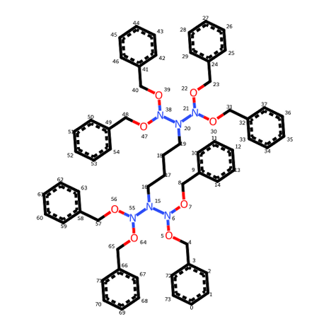 c1ccc(CON(OCc2ccccc2)N(CCCCN(N(OCc2ccccc2)OCc2ccccc2)N(OCc2ccccc2)OCc2ccccc2)N(OCc2ccccc2)OCc2ccccc2)cc1